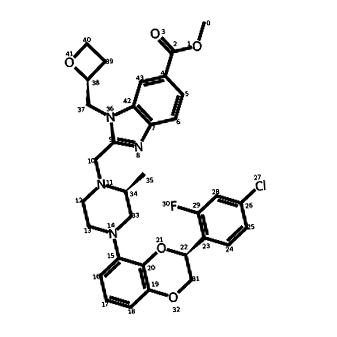 COC(=O)c1ccc2nc(CN3CCN(c4cccc5c4O[C@@H](c4ccc(Cl)cc4F)CO5)C[C@@H]3C)n(C[C@@H]3CCO3)c2c1